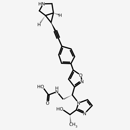 C[C@H](O)c1nccn1[C@H](CNC(=O)O)c1cc(-c2ccc(C#C[C@H]3[C@H]4CNC[C@@H]34)cc2)on1